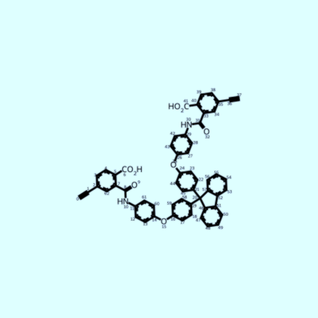 C#Cc1ccc(C(=O)O)c(C(=O)Nc2ccc(Oc3ccc(C4(c5ccc(Oc6ccc(NC(=O)c7cc(C#C)ccc7C(=O)O)cc6)cc5)c5ccccc5-c5ccccc54)cc3)cc2)c1